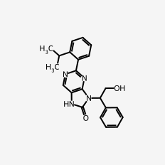 CC(C)c1ccccc1-c1ncc2[nH]c(=O)n(C(CO)c3ccccc3)c2n1